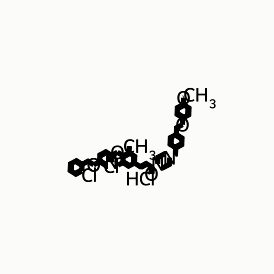 COc1ccc(OCc2ccc(CN3CCN(C(=O)C=Cc4cc(C)c(Oc5ccc(OCc6ccccc6Cl)cn5)c(Cl)c4)CC3)cc2)cc1.Cl